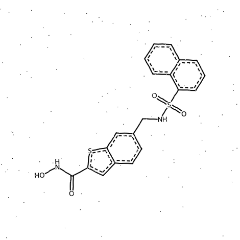 O=C(NO)c1cc2ccc(CNS(=O)(=O)c3cccc4ccccc34)cc2s1